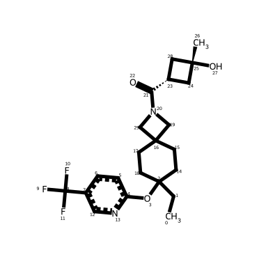 CCC1(Oc2ccc(C(F)(F)F)cn2)CCC2(CC1)CN(C(=O)[C@H]1C[C@@](C)(O)C1)C2